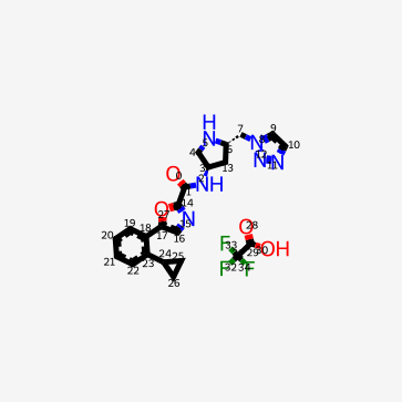 O=C(N[C@H]1CN[C@H](Cn2ccnn2)C1)c1ncc(-c2ccccc2C2CC2)o1.O=C(O)C(F)(F)F